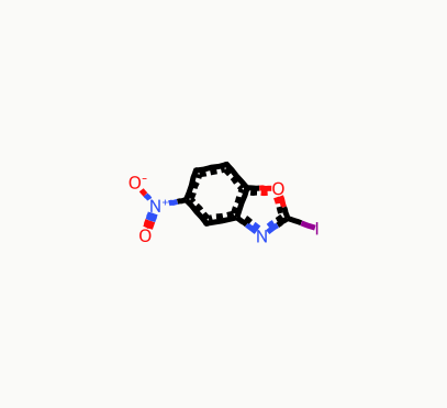 O=[N+]([O-])c1ccc2oc(I)nc2c1